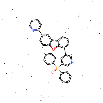 O=P(c1ccccc1)(c1ccccc1)c1cncc(-c2cccc3c2oc2ccc(-c4ccccn4)cc23)c1